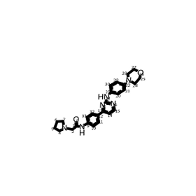 O=C(CN1CCCC1)Nc1ccc(-c2ccnc(Nc3ccc(N4CCOCC4)cc3)n2)cc1